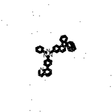 c1ccc(-c2nc(-c3ccc(-c4cccc5cccnc45)cc3)nc(-c3ccc4c5c(ccc4c3)C3(c4ccccc4-5)C4CC5CC(C4)CC3C5)n2)cc1